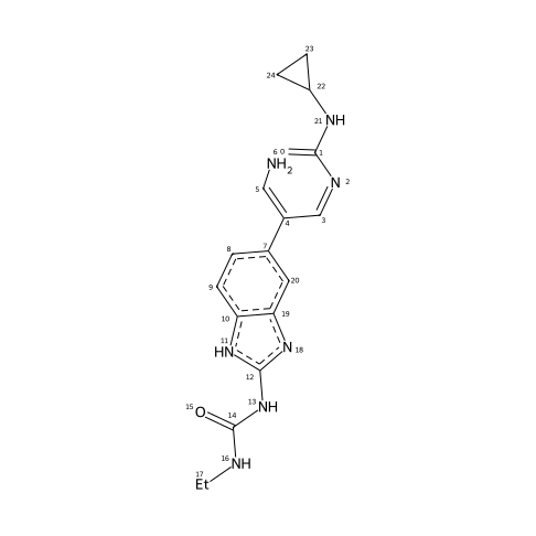 C=C(/N=C\C(=C/N)c1ccc2[nH]c(NC(=O)NCC)nc2c1)NC1CC1